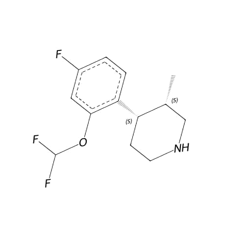 C[C@@H]1CNCC[C@@H]1c1ccc(F)cc1OC(F)F